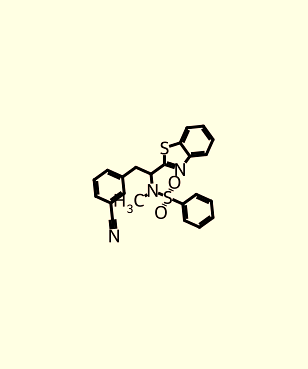 CN(C(Cc1cccc(C#N)c1)c1nc2ccccc2s1)S(=O)(=O)c1ccccc1